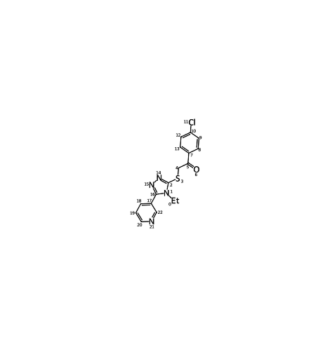 CCn1c(SCC(=O)c2ccc(Cl)cc2)nnc1-c1cccnc1